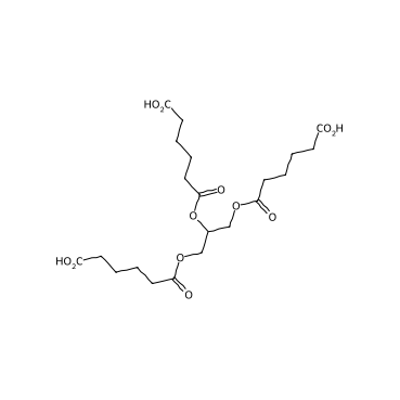 O=C(O)CCCCC(=O)OCC(COC(=O)CCCCC(=O)O)OC(=O)CCCCC(=O)O